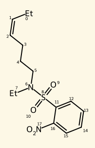 CC/C=C\CCCN(CC)S(=O)(=O)c1ccccc1[N+](=O)[O-]